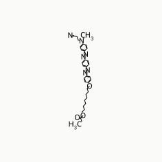 CCC(=O)OCCCCCCCCCOc1ccc(N=Nc2ccc(N=Nc3ccc(N(CC)CCC#N)cc3)cc2)cc1